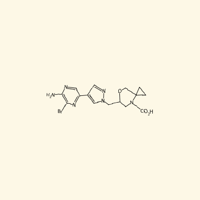 Nc1ncc(-c2cnn(CC3CN(C(=O)O)C4(CC4)CO3)c2)nc1Br